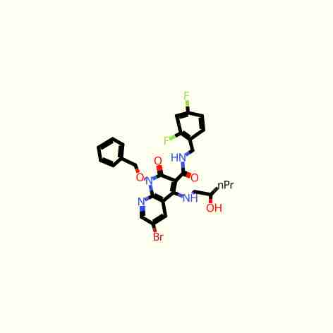 CCCC(O)CNc1c(C(=O)NCc2ccc(F)cc2F)c(=O)n(OCc2ccccc2)c2ncc(Br)cc12